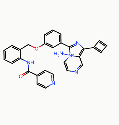 N[N+]12C=CN=CC1=C(C1=CC=C1)N=C2c1cccc(OCc2ccccc2NC(=O)c2ccncc2)c1